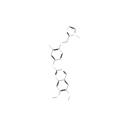 COc1cc2cnc(Nc3ccc(OCc4nccn4C)c(Cl)c3)nc2cc1OC